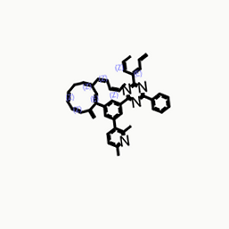 C=C/C=C(\C=C/C)c1nc(-c2ccccc2)nc(-c2cc(/C3=C/C(/C=C\C=C/C)=C\C/C=C\C=C/C3=C)cc(-c3ccc(C)nc3C)c2)n1